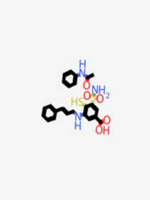 CC(=O)Nc1ccccc1.NS(=O)(=O)c1cc(C(=O)O)cc(NCC=Cc2ccccc2)c1S